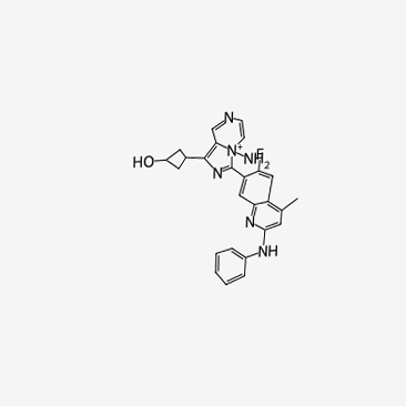 Cc1cc(Nc2ccccc2)nc2cc(C3=NC(C4CC(O)C4)=C4C=NC=C[N+]34N)c(F)cc12